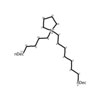 CCCCCCCCCCCCCCCCC[N+]1(CCCCCCCCCCCCCC)CCCC1